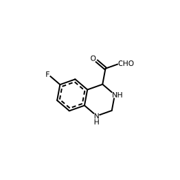 O=CC(=O)C1NCNc2ccc(F)cc21